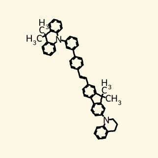 CC1(C)c2cc(/C=C/c3ccc(-c4cccc(N5c6ccccc6C(C)(C)c6ccccc65)c4)cc3)ccc2-c2ccc(N3CCCc4ccccc43)cc21